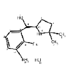 CC1(C)CC[C@H](C(O)c2cccc(N)c2F)N1.Cl